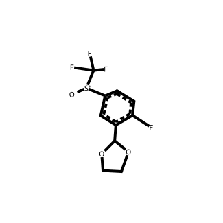 [O-][S+](c1ccc(F)c(C2OCCO2)c1)C(F)(F)F